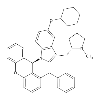 CN1CCC[C@H]1Cc1cn([C@@H]2c3ccccc3Oc3cccc(Cc4ccccc4)c32)c2ccc(OC3CCCCC3)cc12